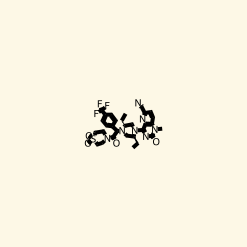 CC[C@H]1CN(C(C(=O)N2CCS(=O)(=O)CC2)c2ccc(C(F)(F)F)cc2)[C@H](CC)CN1c1nc(=O)n(C)c2ccc(C#N)nc12